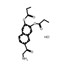 CCC(=O)Oc1cc2ccc(C(=O)CN)cc2cc1OC(=O)CC.Cl